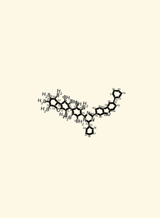 Bc1c(B)c(-c2c(B)c(B)c3c(oc4c(B)c(B)c(B)c(B)c43)c2B)c(B)c(B)c1-c1nc(-c2ccccc2)nc(-c2ccc3c(c2)oc2ccc(-c4ccccc4)cc23)n1